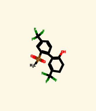 CS(=O)(=O)c1cc(C(F)(F)F)ccc1C1=C(O)[CH]CC(C(F)(F)F)=C1